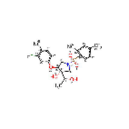 CC(O)[C@]1(O)CN(S(=O)(=O)c2ccc(C(F)(F)F)cc2C#N)C[C@@H]1Oc1ccc(C#N)c(F)c1